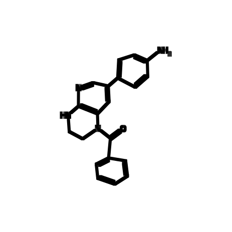 Nc1ccc(-c2cnc3c(c2)N(C(=O)c2ccccc2)CCN3)cc1